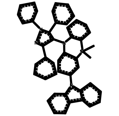 C[Si]1(C)c2ccccc2N(c2c(-c3ccccc3)nn(-c3ccccc3)c2-c2ccccc2)c2ccc(-n3c4ccccc4c4ccccc43)cc21